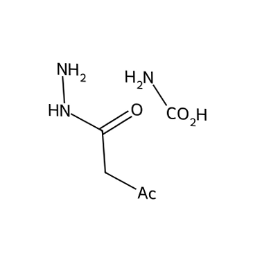 CC(=O)CC(=O)NN.NC(=O)O